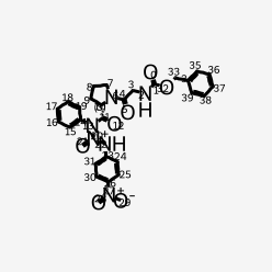 O=C(NCC(=O)N1CCC[C@H]1C(=O)N(c1ccccc1)[N+](=O)Nc1ccc([N+](=O)[O-])cc1)OCc1ccccc1